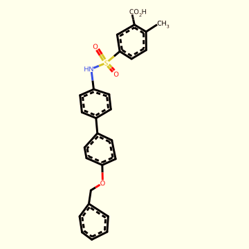 Cc1ccc(S(=O)(=O)Nc2ccc(-c3ccc(OCc4ccccc4)cc3)cc2)cc1C(=O)O